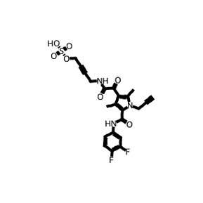 C#CCn1c(C)c(C(=O)C(=O)NCC#CCOS(=O)(=O)O)c(C)c1C(=O)Nc1ccc(F)c(F)c1